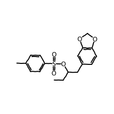 CCC(Cc1ccc2c(c1)OCO2)OS(=O)(=O)c1ccc(C)cc1